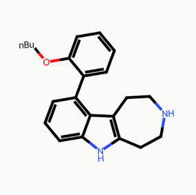 CCCCOc1ccccc1-c1cccc2[nH]c3c(c12)CCNCC3